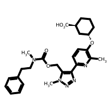 Cc1nc(-c2nnn(C)c2COC(=O)N(C)CCc2ccccc2)ccc1O[C@H]1CCC[C@H](C(=O)O)C1